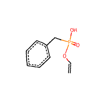 C=COP(=O)(O)Cc1ccccc1